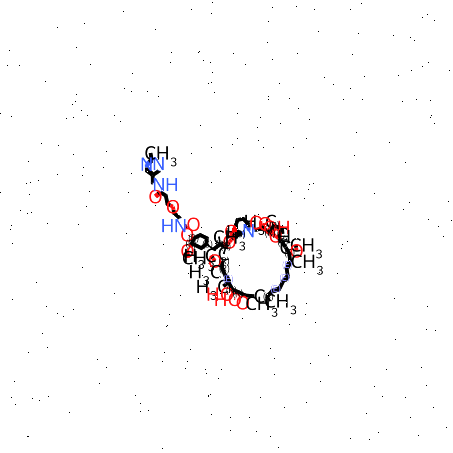 CO[C@H]1C[C@@H]2CC[C@@H](C)[C@@](O)(O2)C(=O)C(=O)N2CCCC[C@H]2C(=O)O[C@H]([C@H](C)C[C@@H]2CC[C@@H](OC(=O)NCCOCCC(=O)NCc3cnc(C)nc3)[C@H](OC)C2)C[C@@H](OC)[C@H](C)/C=C(\C)[C@@H](O)[C@@H](O)C(=O)C(C)C[C@H](C)/C=C/C=C/C=C/1C